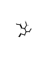 C=CCC(CC)[C](C=CC)CC